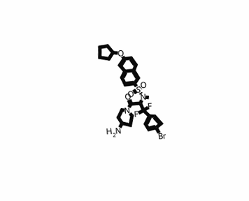 CN(C(C(=O)N1CCC(N)CC1)C(F)(F)c1ccc(Br)cc1)S(=O)(=O)c1ccc2cc(OC3CCCC3)ccc2c1